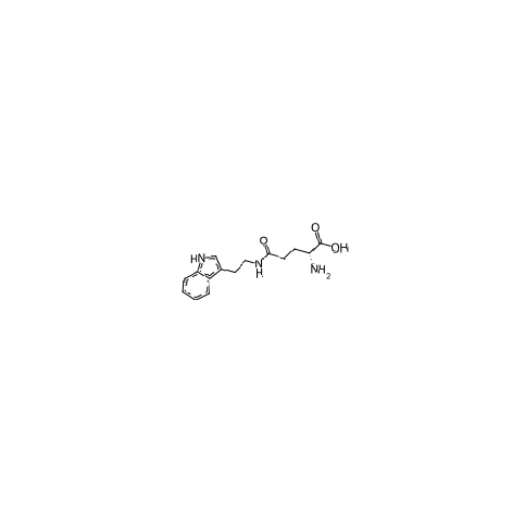 N[C@H](CCC(=O)NCCc1c[nH]c2ccccc12)C(=O)O